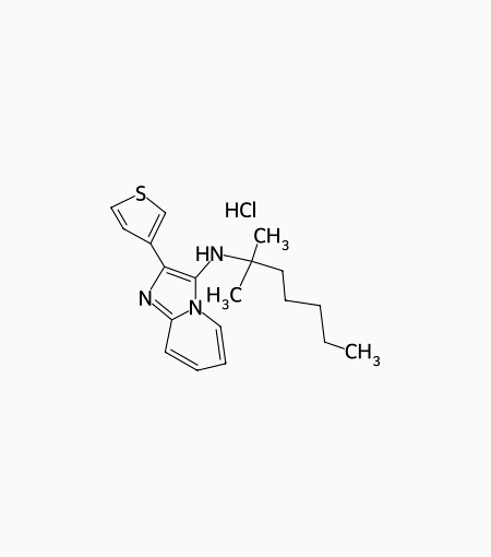 CCCCCC(C)(C)Nc1c(-c2ccsc2)nc2ccccn12.Cl